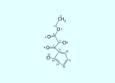 CCOC(=O)C(Cl)C(=O)c1ccccc1Cl